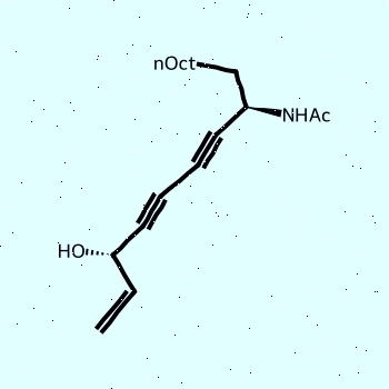 C=C[C@H](O)C#CC#C[C@@H](CCCCCCCCC)NC(C)=O